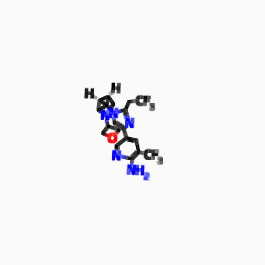 Nc1ncc(-c2cn([C@@]34C5[C@H]3[C@H]4CN5C3COC3)c(CC(F)(F)F)n2)cc1C(F)(F)F